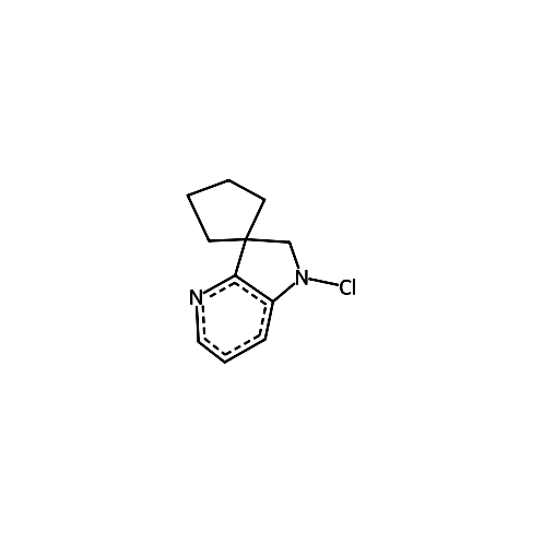 ClN1CC2(CCCC2)c2ncccc21